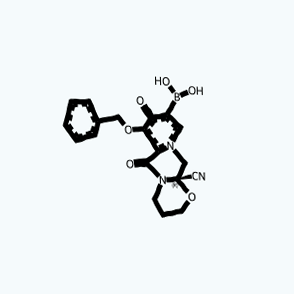 N#C[C@]12Cn3cc(B(O)O)c(=O)c(OCc4ccccc4)c3C(=O)N1CCCO2